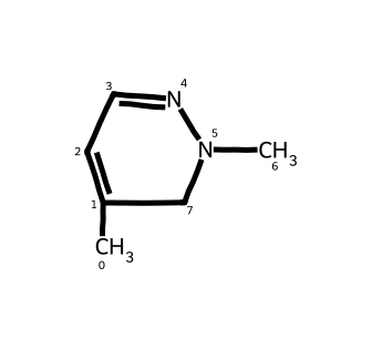 CC1=CC=NN(C)C1